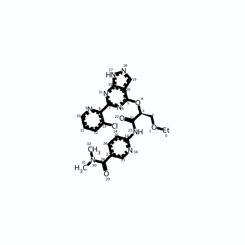 CCOC[C@H](Oc1nc(-c2ncccc2Cl)nc2[nH]ncc12)C(=O)Nc1ccc(C(=O)N(C)C)cn1